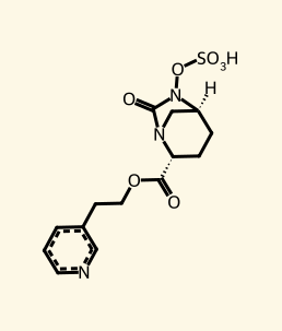 O=C(OCCc1cccnc1)[C@H]1CC[C@H]2CN1C(=O)N2OS(=O)(=O)O